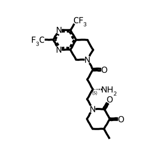 CC1CCN(C[C@@H](N)CC(=O)N2CCc3c(nc(C(F)(F)F)nc3C(F)(F)F)C2)C(=O)C1=O